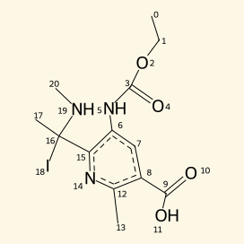 CCOC(=O)Nc1cc(C(=O)O)c(C)nc1C(C)(I)NC